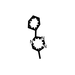 Cc1cnc(-c2ccccc2)nn1